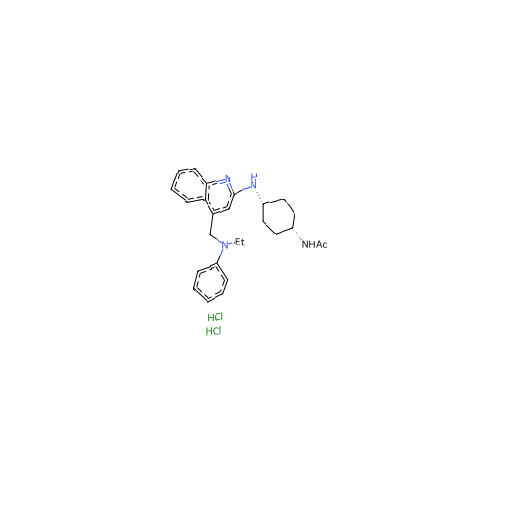 CCN(Cc1cc(N[C@H]2CC[C@@H](NC(C)=O)CC2)nc2ccccc12)c1ccccc1.Cl.Cl